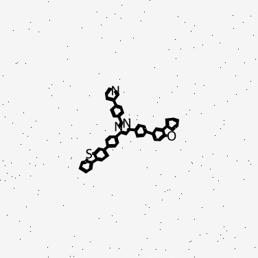 c1cncc(-c2ccc(-c3nc(-c4ccc(-c5ccc6c(c5)sc5ccccc56)cc4)cc(-c4ccc(-c5ccc6oc7ccccc7c6c5)cc4)n3)cc2)c1